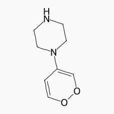 C1=CC(N2CCNCC2)=COO1